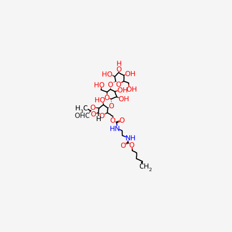 C=CCCCOC(=O)NCCNC(=O)OCC1O[C@@H]2O[C@@](C)(C=O)OC2C(O)[C@@H]1O[C@@H]1OC(CO)[C@H](O[C@H]2OC(CO)[C@H](O)C(O)C2O)C(O)C1O